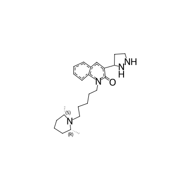 C[C@@H]1CCC[C@H](C)N1CCCCCn1c(=O)c(C2CCNN2)cc2ccccc21